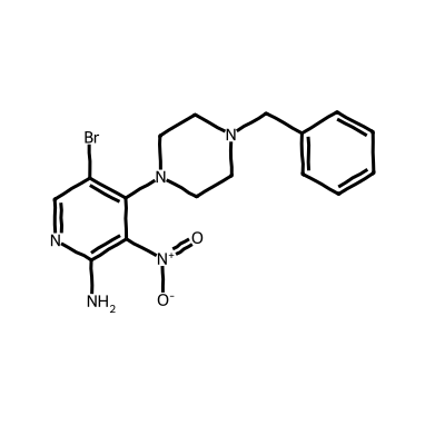 Nc1ncc(Br)c(N2CCN(Cc3ccccc3)CC2)c1[N+](=O)[O-]